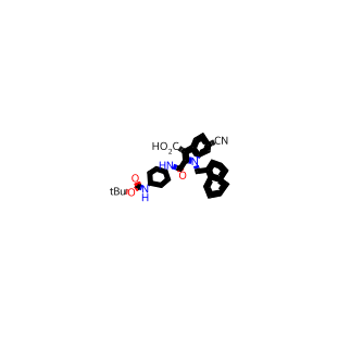 CC(C)(C)OC(=O)N[C@H]1CC[C@H](NC(=O)c2c(C(=O)O)c3ccc(C#N)cc3n2Cc2cccc3ccccc23)CC1